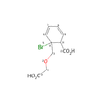 O=C(O)COCC1(Br)C=CC=CC1C(=O)O